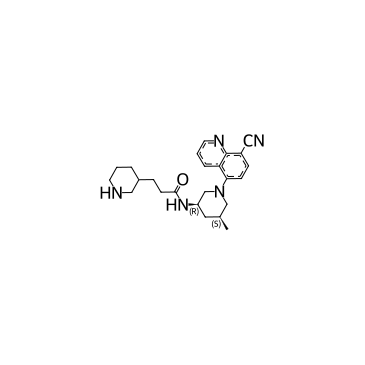 C[C@H]1C[C@@H](NC(=O)CCC2CCCNC2)CN(c2ccc(C#N)c3ncccc23)C1